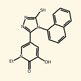 CCn1cc(-c2nnc(S)n2-c2cccc3ccccc23)cc(O)c1=O